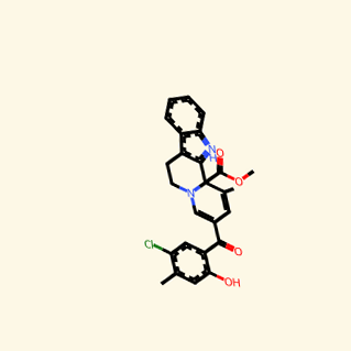 COC(=O)C12C(C)=CC(C(=O)c3cc(Cl)c(C)cc3O)=CN1CCc1c2[nH]c2ccccc12